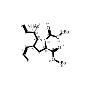 C=C[C@H](NC(C)=O)[C@H]1[C@H](/C=C\C)C[C@H](C(=O)OC(C)(C)C)N1C(=O)OC(C)(C)C